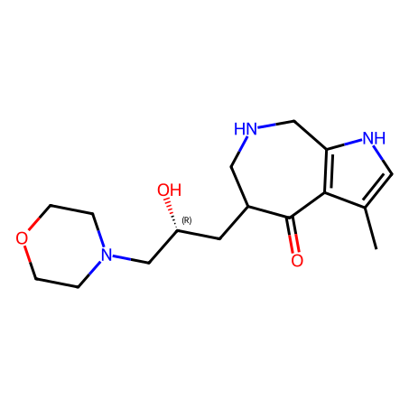 Cc1c[nH]c2c1C(=O)C(C[C@@H](O)CN1CCOCC1)CNC2